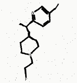 Cc1ccc(C(C)C2CCN(CCF)CC2)nc1